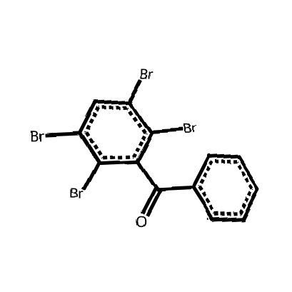 O=C(c1[c]cccc1)c1c(Br)c(Br)cc(Br)c1Br